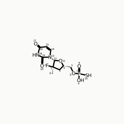 C[C@@]1(F)C[C@@H](COP(=O)(O)S)O[C@H]1n1ccc(=O)[nH]c1=O